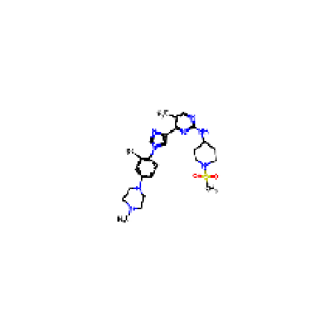 CN1CCN(c2ccc(-n3cnc(-c4nc(NC5CCN(S(C)(=O)=O)CC5)ncc4C(F)(F)F)c3)c(C#N)c2)CC1